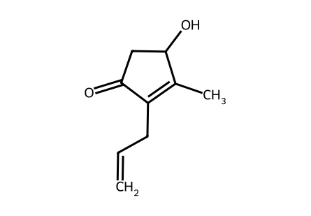 C=CCC1=C(C)C(O)CC1=O